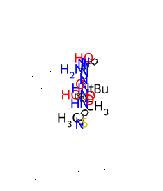 Cc1ncsc1-c1ccc(C(C)NC(=O)[C@@H]2C[C@@H](O)CN2C(=O)C(NCC(=O)N2CCN(c3cc(-c4ccccc4O)nnc3N)CC2)C(C)(C)C)cc1